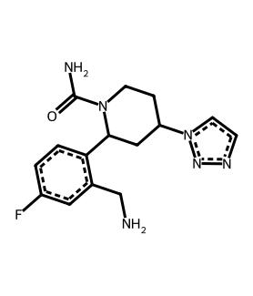 NCc1cc(F)ccc1C1CC(n2ccnn2)CCN1C(N)=O